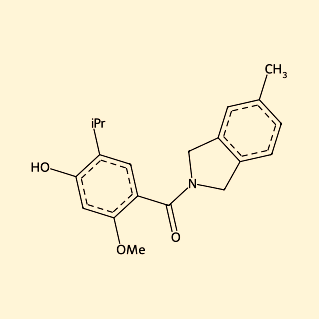 COc1cc(O)c(C(C)C)cc1C(=O)N1Cc2ccc(C)cc2C1